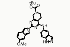 COc1ccc2cn(-c3nc4c(c(Nc5ccc6[nH]ncc6c5)n3)CCN(C(=O)OC(C)(C)C)C4)cc2c1